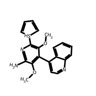 COc1c(N)nc([SH]2C=CC=C2)c(OC)c1-c1ccnc2ccccc12